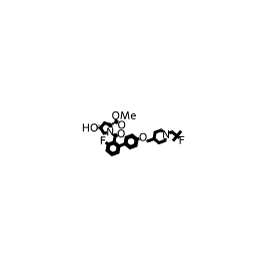 COC(=O)[C@@H]1C[C@@H](O)CN1C(=O)c1c(F)cccc1-c1ccc(OCC2CCN(CC(C)(C)F)CC2)cc1